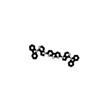 c1ccc2c(c1)c1ccccc1n2-c1nccc2c1ccn2-c1ccc2c(n1)oc1nc(-n3ccc4c(-n5c6ccccc6c6ccccc65)nccc43)ccc12